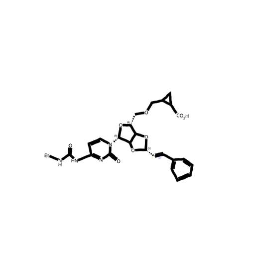 CCNC(=O)Nc1ccn([C@@H]2O[C@H](COCC3CC3C(=O)O)C3O[C@H](/C=C/c4ccccc4)OC32)c(=O)n1